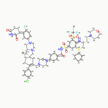 C[C@@]1(CN2CCN(c3ccc(F)c(C4CCC(=O)NC4=O)c3)CC2)CCC(c2ccc(Cl)cc2)=C(CN2CCN(c3ccc(C(=O)NS(=O)(=O)c4ccc(N[C@H](CCN5CCCOCC5)CSc5ccccc5)c(S(=O)(=O)C(F)(F)F)c4)cc3)CC2)C1